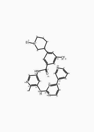 CCN1CCCC(c2cc(C(=O)Nc3cnc(C)c(Nc4nccc(-c5cccnc5)n4)c3)cc(C(F)(F)F)c2)C1